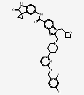 O=C(Nc1ccc2c(c1)C1(CC1)C(=O)N2)c1ccc2c(c1)nc(CN1CCC(c3cccc(OCc4ccc(Cl)cc4F)n3)CC1)n2C[C@@H]1CCO1